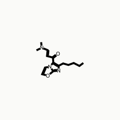 CCCCCc1nc2occn2c1C(=O)C=CN(C)C